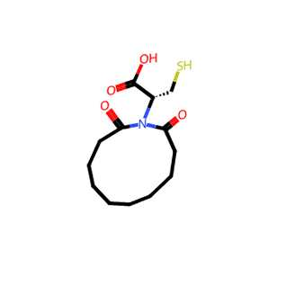 O=C(O)[C@H](CS)N1C(=O)CCCCCCCCC1=O